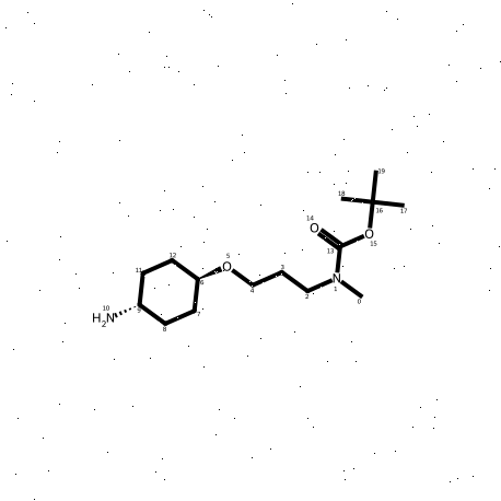 CN(CCCO[C@H]1CC[C@H](N)CC1)C(=O)OC(C)(C)C